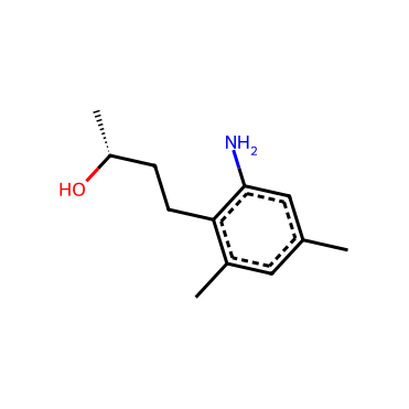 Cc1cc(C)c(CC[C@@H](C)O)c(N)c1